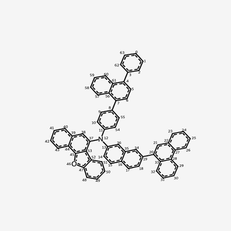 c1ccc(-c2ccc(-c3ccc(N(c4ccc5ccc(-c6cc7ccccc7c7ccccc67)cc5c4)c4cc5ccccc5c5oc6ccccc6c45)cc3)c3ccccc23)cc1